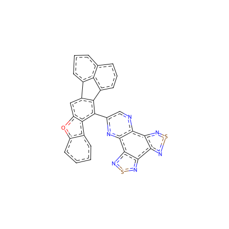 c1cc2c3c(cccc3c1)-c1c-2cc2oc3ccccc3c2c1-c1cnc2c3nsnc3c3nsnc3c2n1